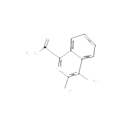 CNC(=O)c1nc(OC)c(OC)c2ccccc12